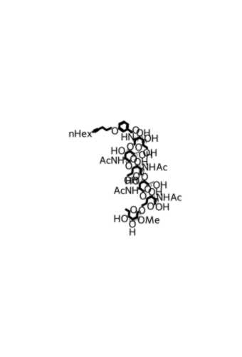 CCCCCCC#CCCCOc1cccc(C(=O)N[C@@H]2C(O[C@H]3C(O)C(NC(C)=O)[C@H](OC4C(CO)O[C@@H](O[C@H]5C(O)C(NC(C)=O)C(OC6C(CO[C@@H]7OC(C)C(O)[C@H](O)[C@H]7OC)OC(O)[C@@H](NC(C)=O)[C@H]6O)O[C@H]5CO)[C@@H](NC(C)=O)[C@H]4O)O[C@H]3CO)OC(CO)[C@@H](O)[C@@H]2O)c1